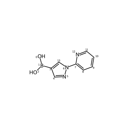 OB(O)c1cnn(-c2ccccn2)c1